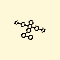 c1ccc(-c2ccccc2-c2ccc3c(-c4ccc(-c5nccs5)cn4)c4ccccc4c(-c4ccc(-c5nccs5)cn4)c3c2)cc1